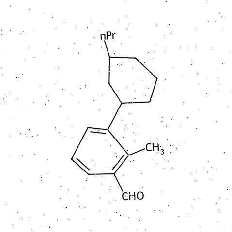 CCCC1CCCC(c2cccc(C=O)c2C)C1